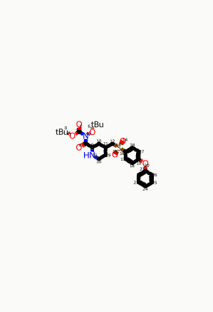 CC(C)(C)OC(=O)N(OC(C)(C)C)C(=O)C1CC(CS(=O)(=O)c2ccc(Oc3ccccc3)cc2)CCN1